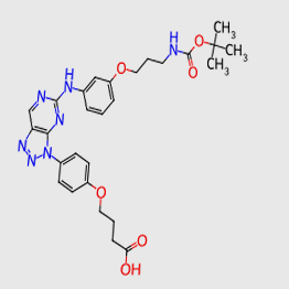 CC(C)(C)OC(=O)NCCCOc1cccc(Nc2ncc3nnn(-c4ccc(OCCCC(=O)O)cc4)c3n2)c1